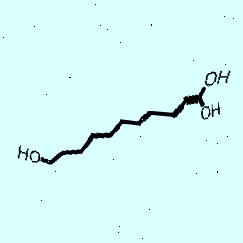 OCCCCCCCCCC=C(O)O